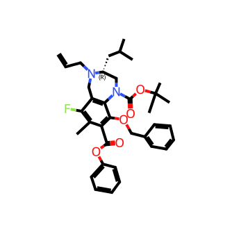 C=CCN1Cc2c(F)c(C)c(C(=O)Oc3ccccc3)c(OCc3ccccc3)c2N(C(=O)OC(C)(C)C)C[C@H]1CC(C)C